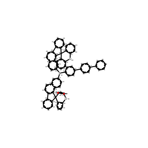 c1ccc(-c2ccc(-c3ccc(N(c4ccc5c6c(ccc5c4)-c4ccccc4C64c5ccccc5Oc5ccccc54)c4ccc5ccc6c(c5c4)C4(c5ccccc5Oc5ccccc54)c4ccccc4-6)cc3)cc2)cc1